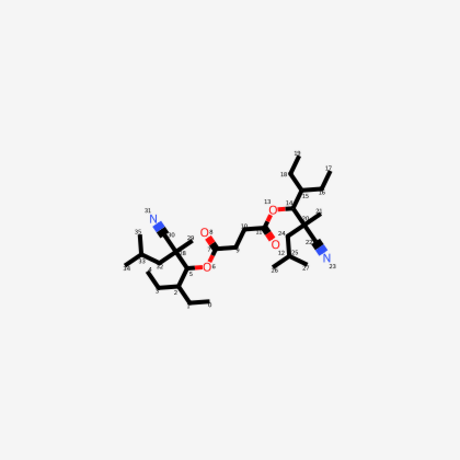 CCC(CC)C(OC(=O)CCC(=O)OC(C(CC)CC)C(C)(C#N)CC(C)C)C(C)(C#N)CC(C)C